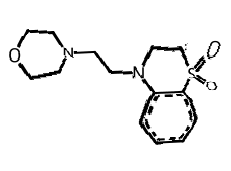 O=S1(=O)[C]CN(CCN2CCOCC2)c2ccccc21